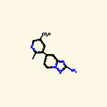 Cc1ncc(C(=O)O)cc1-c1ccn2nc(N)nc2c1